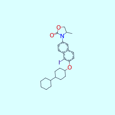 CC1COC(=O)N1c1ccc2c(I)c(OC3CCC(C4CCCCC4)CC3)ccc2c1